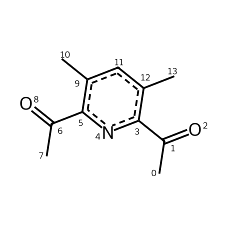 CC(=O)c1nc(C(C)=O)c(C)cc1C